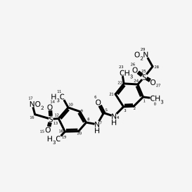 Cc1cc(NC(=O)Nc2cc(C)c(S(=O)(=O)C[N+](=O)[O-])c(C)c2)cc(C)c1S(=O)(=O)C[N+](=O)[O-]